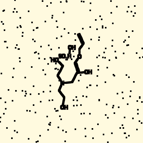 C=CCOC=C.O=S(=O)(O)O.OCCN(CCO)CCO